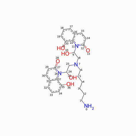 NCCCCCCN(CC(O)n1c(=O)ccc2cccc(O)c21)CC(O)n1c(=O)ccc2cccc(O)c21